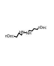 CCCCCCCCCCCCCCNNCCCCCCCCCCCCC